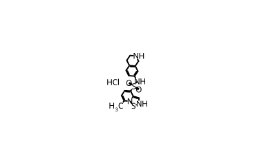 CC1=CC=C(S(=O)(=O)Nc2ccc3c(c2)CNCC3)C2=CNSN12.Cl